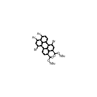 CCCCOC(=O)c1ccc2c3c(Br)cc(C(C)=O)c4c(C(C)=O)ccc(c5c(Br)cc(C(=O)OCCCC)c1c25)c43